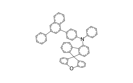 c1ccc(-c2cc(-c3ccc(N(c4ccccc4)c4cccc5c4-c4ccccc4C54c5ccccc5Oc5ccccc54)cc3)c3ccccc3c2)cc1